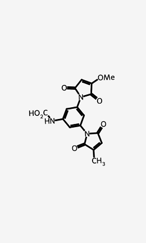 COC1=CC(=O)N(c2cc(NC(=O)O)cc(N3C(=O)C=C(C)C3=O)c2)C1=O